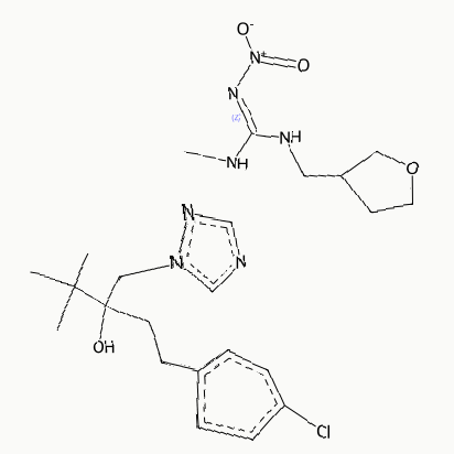 CC(C)(C)C(O)(CCc1ccc(Cl)cc1)Cn1cncn1.CN/C(=N/[N+](=O)[O-])NCC1CCOC1